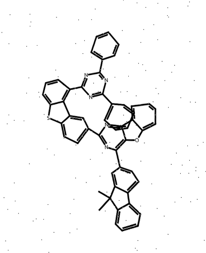 CC1(C)c2ccccc2-c2ccc(-c3nc(-c4ccc5sc6cccc(-c7nc(-c8ccccc8)nc(-c8ccccc8)n7)c6c5c4)nc4c3oc3ccccc34)cc21